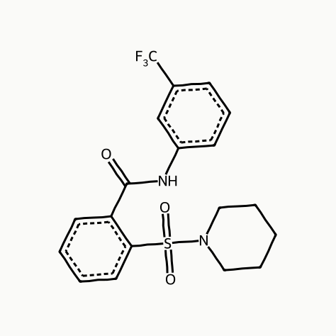 O=C(Nc1cccc(C(F)(F)F)c1)c1ccccc1S(=O)(=O)N1CCCCC1